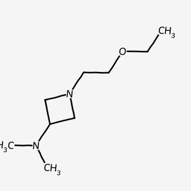 CCOCCN1CC(N(C)C)C1